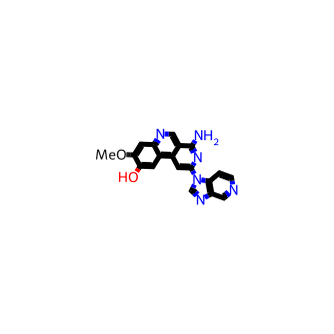 COc1cc2ncc3c(N)nc(-n4cnc5cnccc54)cc3c2cc1O